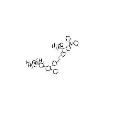 CCC1(CC)c2cc(/C=C/c3ccc(-c4cc(-c5ccc([Si](C)(C)C)cc5)ccc4-c4ccccc4)cc3)ccc2-c2ccc(N(c3ccccc3)c3ccccc3)cc21